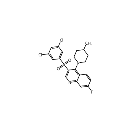 CC1CCN(c2c(S(=O)(=O)c3cc(Cl)cc(Cl)c3)cnc3cc(F)ccc23)CC1